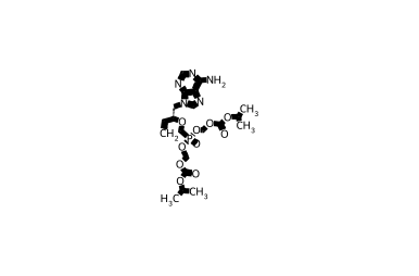 C=C[C@H](Cn1cnc2c(N)ncnc21)OCP(=O)(OCOC(=O)OC(C)C)OCOC(=O)OC(C)C